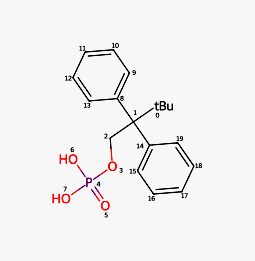 CC(C)(C)C(COP(=O)(O)O)(c1ccccc1)c1ccccc1